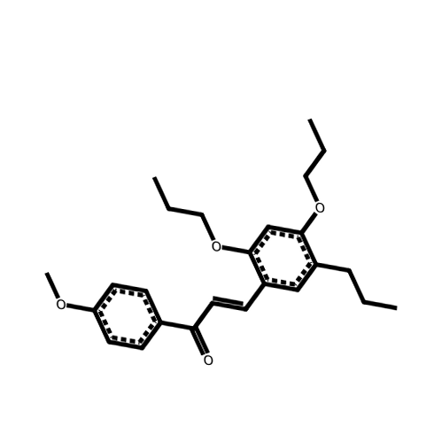 CCCOc1cc(OCCC)c(CCC)cc1C=CC(=O)c1ccc(OC)cc1